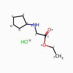 CCOC(=O)CNC1CCCC1.Cl